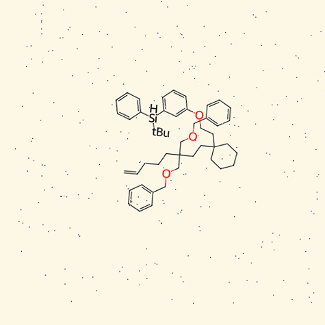 C=CCCCC(CCC1(CCOc2cccc([SiH](c3ccccc3)C(C)(C)C)c2)CCCCC1)(COCc1ccccc1)COCc1ccccc1